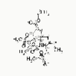 CCOC(=O)C1=C[C@@H](C[C@@H](CC)CCN=[N+]=[N-])[C@H](NP(=O)(OCC)OCC)[C@@H](OS(C)(=O)=O)C1